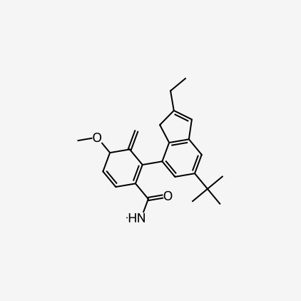 C=C1C(c2cc(C(C)(C)C)cc3c2CC(CC)=C3)=C(C([NH])=O)C=CC1OC